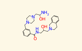 NC(O)CN1CCN(Cc2cccc(C(=O)NCC(O)CN3CCc4ccccc4C3)c2)CC1